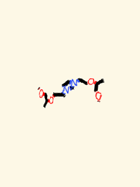 COCC(C)OCCn1cc[n+](CCOC(C)COC)c1